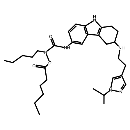 CCCCCC(=O)ON(CCCCC)C(=O)Nc1ccc2[nH]c3c(c2c1)CC(NCCc1cnn(C(C)C)c1)CC3